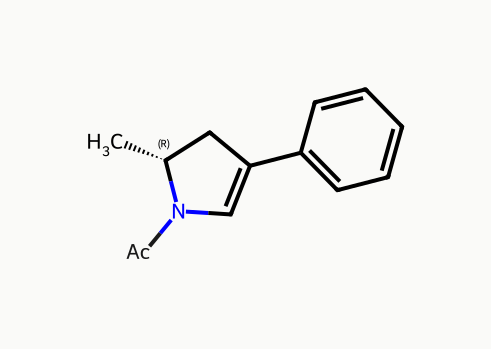 CC(=O)N1C=C(c2ccccc2)C[C@H]1C